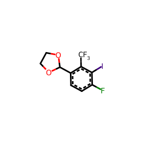 Fc1ccc(C2OCCO2)c(C(F)(F)F)c1I